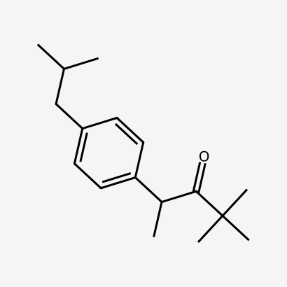 CC(C)Cc1ccc(C(C)C(=O)C(C)(C)C)cc1